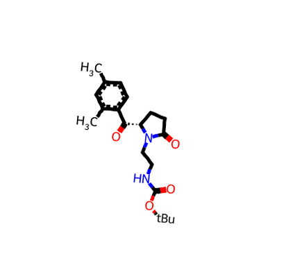 Cc1ccc(C(=O)[C@@H]2CCC(=O)N2CCNC(=O)OC(C)(C)C)c(C)c1